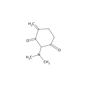 C=C1CCC(=O)C(N(C)C)C1=O